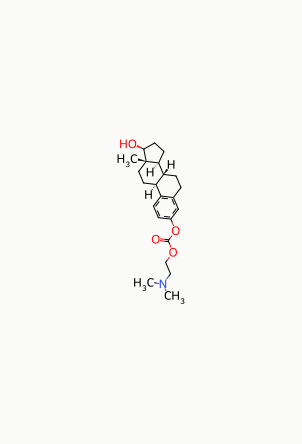 CN(C)CCOC(=O)Oc1ccc2c(c1)CC[C@@H]1[C@@H]2CC[C@]2(C)[C@@H](O)CC[C@@H]12